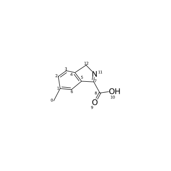 Cc1ccc2c(c1)C(C(=O)O)=NC2